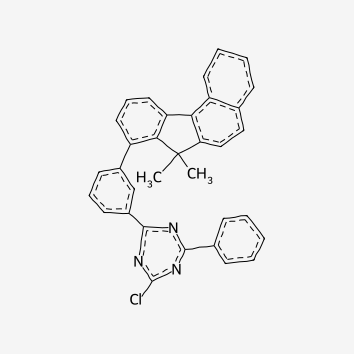 CC1(C)c2ccc3ccccc3c2-c2cccc(-c3cccc(-c4nc(Cl)nc(-c5ccccc5)n4)c3)c21